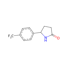 O=C1CCC(c2ccc(C(F)(F)F)cc2)N1